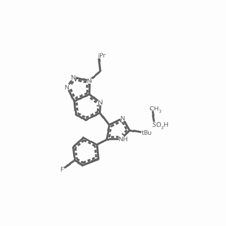 CC(C)Cn1nnc2ccc(-c3nc(C(C)(C)C)[nH]c3-c3ccc(F)cc3)nc21.CS(=O)(=O)O